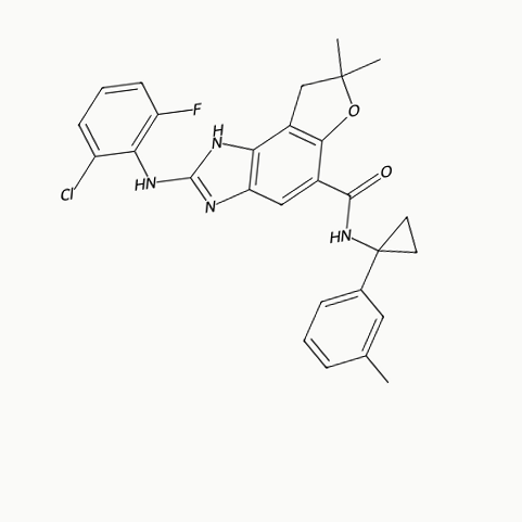 Cc1cccc(C2(NC(=O)c3cc4nc(Nc5c(F)cccc5Cl)[nH]c4c4c3OC(C)(C)C4)CC2)c1